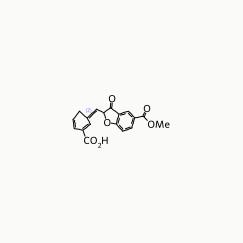 COC(=O)c1ccc2c(c1)C(=O)C(/C=C1\C=C(C(=O)O)C=CC1)O2